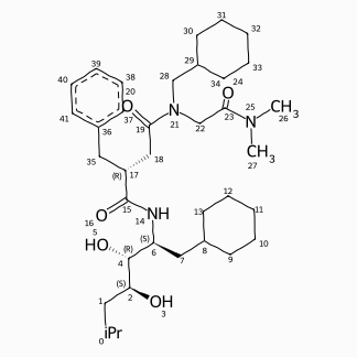 CC(C)C[C@H](O)[C@H](O)[C@H](CC1CCCCC1)NC(=O)[C@@H](CC(=O)N(CC(=O)N(C)C)CC1CCCCC1)Cc1ccccc1